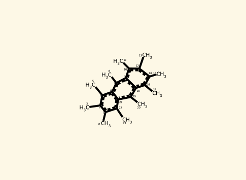 Cc1c(C)c(C)c2c(C)c3c(C)c(C)c(C)c(C)c3c(C)c2c1C